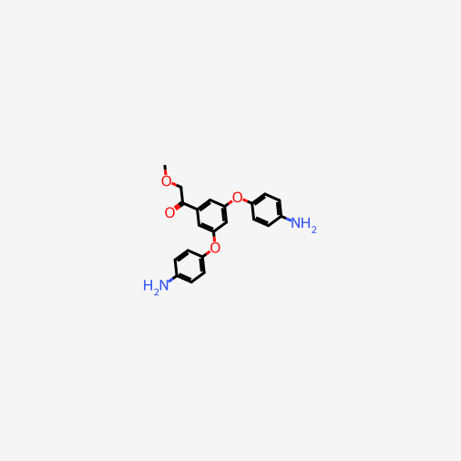 COCC(=O)c1cc(Oc2ccc(N)cc2)cc(Oc2ccc(N)cc2)c1